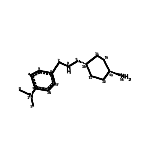 CN(C)c1ccc(CNC[C@H]2CC[C@H](N)CC2)cc1